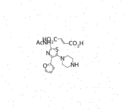 CC(=O)Nc1nc(-c2ccco2)c(N2CCNCC2)s1.O=C(O)/C=C/C(=O)O